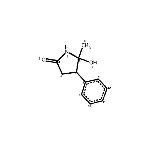 CC1(O)NC(=O)CC1c1ccccc1